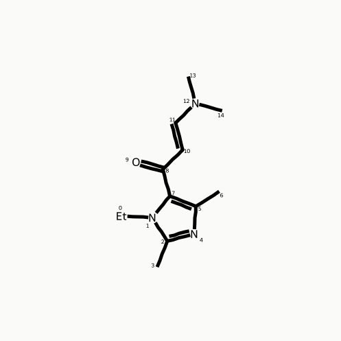 CCn1c(C)nc(C)c1C(=O)/C=C/N(C)C